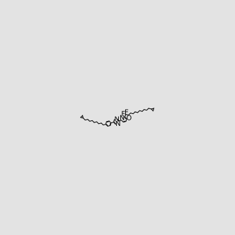 FC1(F)c2nc(-c3ncc(-c4ccc(CCCCCCCCCC5CC5)cc4)cn3)ccc2OC1CCCCCCCCCC1CC1